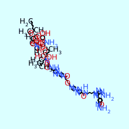 C=C/C=C/C=C(\C)[C@H](C[C@@H]1CC[C@@H](C)[C@](O)(C(=O)C(=O)N2CCCC[C@H]2C(=O)O[C@@H](C[C@@H](O)[C@H](C)/C=C(\C)[C@@H](O)[C@@H](O)/C(=N/OCC(=O)NCc2cnc(N3CCN(C(=O)CCOCCN4CCN(c5ncc(C(=O)NCCCCn6nc(-c7ccc8oc(N)nc8c7)c7c(N)ncnc76)cn5)CC4)CC3)nc2)[C@H](C)CC(C)C)[C@H](N)C[C@@H]2CC[C@@H](O)[C@H](OC)C2)O1)OC